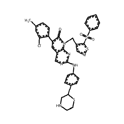 Cc1ccc(-c2cc3cnc(Nc4ccc(C5CNCCS5)cc4)nc3n(Cc3cnsc3S(=O)(=O)c3ccccc3)c2=O)c(Cl)c1